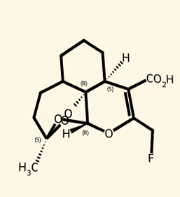 C[C@]12CCC3CCC[C@H]4C(C(=O)O)=C(CF)O[C@H](O1)[C@@]34OO2